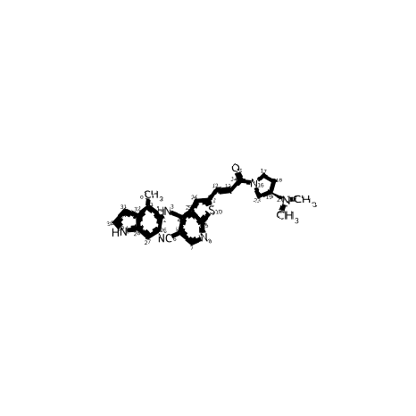 Cc1c(Nc2c(C#N)cnc3sc(/C=C/C(=O)N4CC[C@@H](N(C)C)C4)cc23)ccc2[nH]ccc12